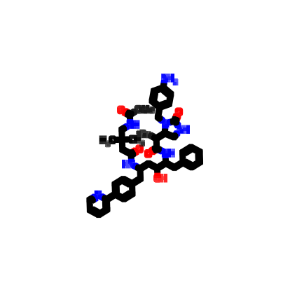 COC(=O)NCC(C)(C)CC(=O)NC(Cc1ccc(-c2ccccn2)cc1)CC(O)C(Cc1ccccc1)NC(=O)C(C1CNC(=O)N1Cc1ccc(N)cc1)C(C)(C)C